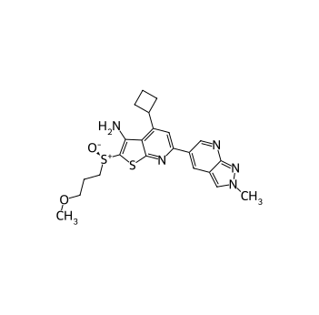 COCCC[S@@+]([O-])c1sc2nc(-c3cnc4nn(C)cc4c3)cc(C3CCC3)c2c1N